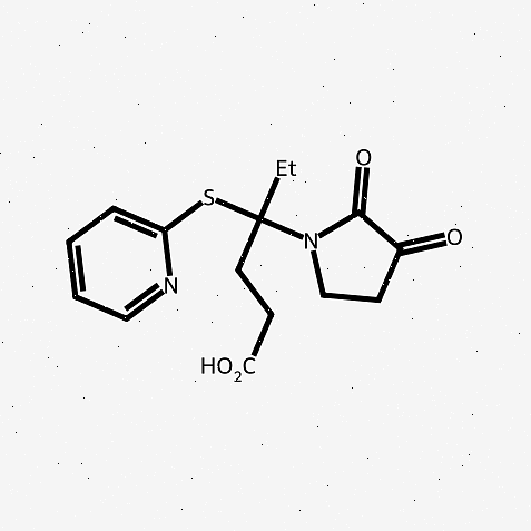 CCC(CCC(=O)O)(Sc1ccccn1)N1CCC(=O)C1=O